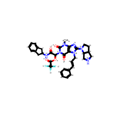 Cn1c(=O)n(C(OC(=O)C(F)(F)F)C(=O)NC2Cc3ccccc3C2)c(=O)c2c1nc(N1CCC3CNCC31)n2CC=Cc1ccccc1